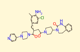 Cc1cc(C[C@@H](CC(=O)N2CCC(N3CCc4ccccc4NC3=O)CC2)C(=O)N2CCN(c3ccncc3)CC2)cc(Cl)c1N